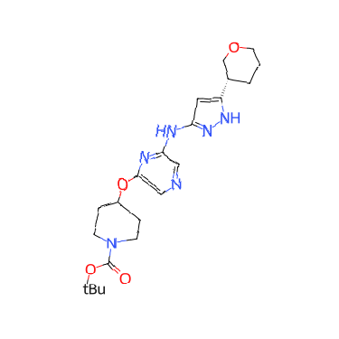 CC(C)(C)OC(=O)N1CCC(Oc2cncc(Nc3cc([C@H]4CCCOC4)[nH]n3)n2)CC1